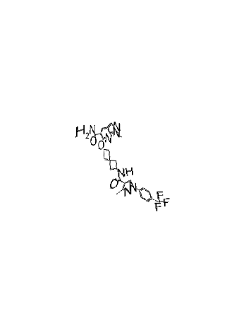 Cc1nn(-c2ccc(C(F)(F)F)cc2)cc1C(=O)NC1CC2(C1)CC(Oc1nc3c(cnn3C)cc1C(N)=O)C2